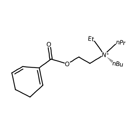 CCCC[N@+](CC)(CCC)CCOC(=O)C1=CCCC=C1